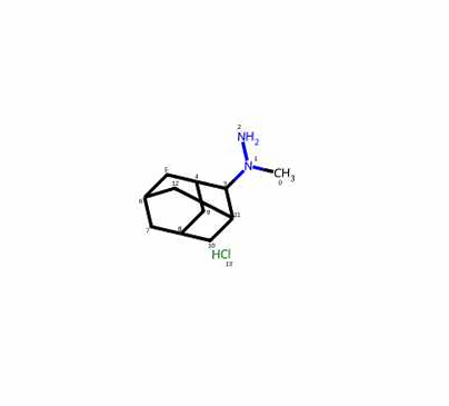 CN(N)C1C2CC3CC(C2)CC1C3.Cl